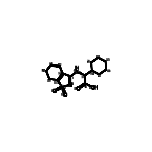 O=C(O)[C@@H](NC1=NS(=O)(=O)C2=C1C=CCC2)C1CCCCC1